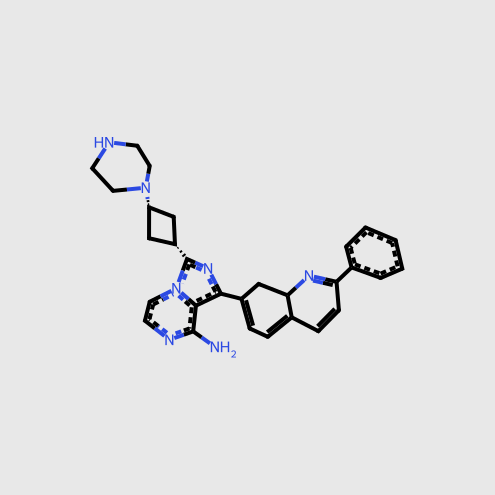 Nc1nccn2c1c(C1=CC=C3C=CC(c4ccccc4)=NC3C1)nc2[C@H]1C[C@@H](N2CCNCC2)C1